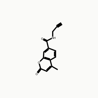 C#CCNC(=O)c1ccc2c(C)cc(=O)oc2c1